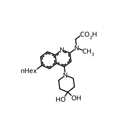 CCCCCCc1ccc2nc(N(C)CC(=O)O)cc(N3CCC(O)(O)CC3)c2c1